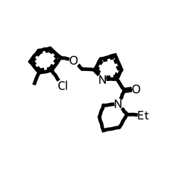 CCC1CCCCN1C(=O)c1cccc(COc2cccc(C)c2Cl)n1